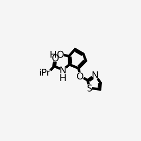 CC(C)C(=O)Nc1c(O)cccc1Oc1nccs1